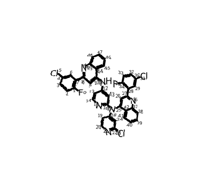 Fc1ccc(Cl)cc1-c1cc(Nc2ccnc(N(c3ccnc(Cl)c3)c3cc(-c4cc(Cl)ccc4F)nc4ccccc34)c2)c2ccccc2n1